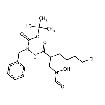 CCCCCC(CN(O)C=O)C(=O)NN(Cc1ccccc1)C(=O)OC(C)(C)C